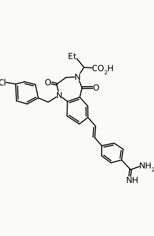 CCC(C(=O)O)N1CC(=O)N(Cc2ccc(Cl)cc2)c2ccc(C=Cc3ccc(C(=N)N)cc3)cc2C1=O